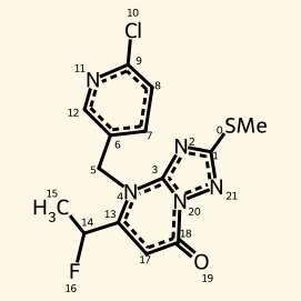 CSc1nc2n(Cc3ccc(Cl)nc3)c(C(C)F)cc(=O)n2n1